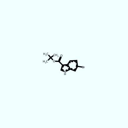 CC(C)(C)OC(=O)c1c[nH]c2cc(Br)ccc12